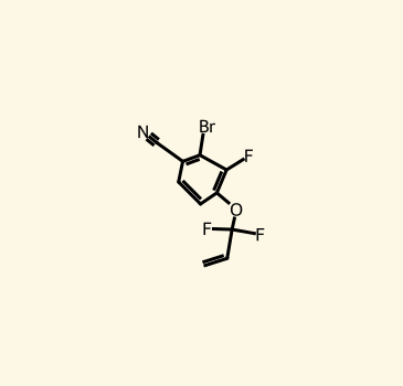 C=CC(F)(F)Oc1ccc(C#N)c(Br)c1F